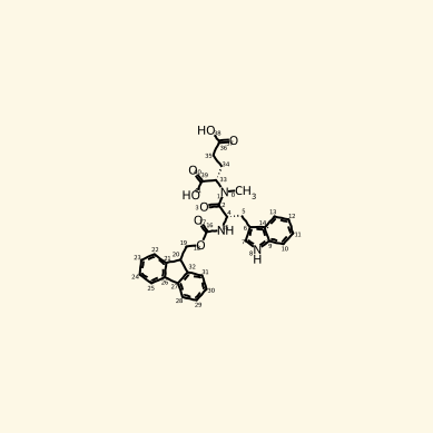 CN(C(=O)[C@H](Cc1c[nH]c2ccccc12)NC(=O)OCC1c2ccccc2-c2ccccc21)[C@@H](CCC(=O)O)C(=O)O